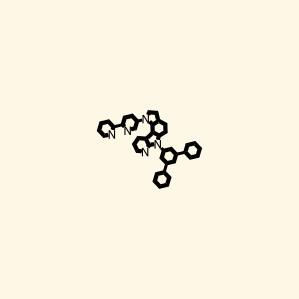 c1ccc(-c2cc(-c3ccccc3)cc(-n3c4ccc5ccn(-c6ccc(-c7ccccn7)nc6)c5c4c4cccnc43)c2)cc1